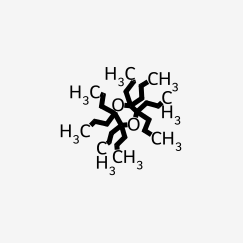 CCCC1(CCC)OC(CCC)(CCC)C(CCC)(CCC)OC1(CCC)CCC